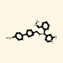 O=C(O)c1ccc(-c2ccc(CC[C@H](c3ccnc(Cl)c3)c3ccccc3/C=N\O)cc2)cc1